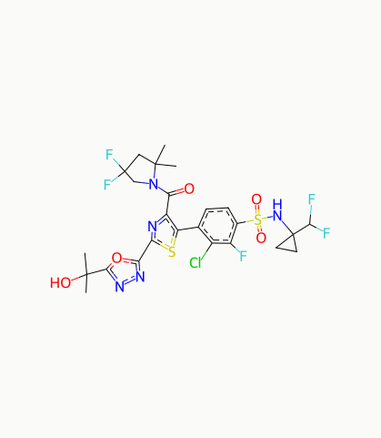 CC(C)(O)c1nnc(-c2nc(C(=O)N3CC(F)(F)CC3(C)C)c(-c3ccc(S(=O)(=O)NC4(C(F)F)CC4)c(F)c3Cl)s2)o1